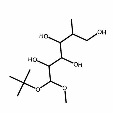 COC(OC(C)(C)C)C(O)C(O)C(O)C(C)CO